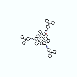 C(=C\c1ccc2c(c1)C1(c3ccccc3-c3ccccc31)c1c-2c2c(c3c1-c1ccc(/C=C/c4ccc(N(c5ccccc5)c5ccccc5)cc4)cc1C31c3ccccc3-c3ccccc31)-c1ccc(/C=C/c3ccc(N(c4ccccc4)c4ccccc4)cc3)cc1C21c2ccccc2-c2ccccc21)/c1ccc(N(c2ccccc2)c2ccccc2)cc1